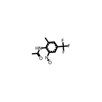 CC(=O)Nc1c(C)cc(C(F)(F)F)cc1N=O